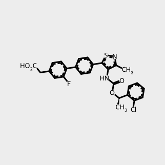 Cc1nsc(-c2ccc(-c3ccc(CC(=O)O)cc3F)cc2)c1NC(=O)O[C@H](C)c1ccccc1Cl